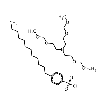 CCCCCCCCCCCCc1ccc(S(=O)(=O)O)cc1.COCOCCN(CCOCOC)CCOCOC